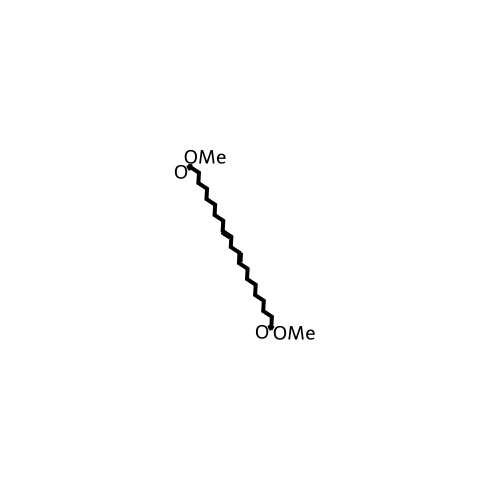 COC(=O)CCCCCCCC=CCC=CCCCCCCCC(=O)OC